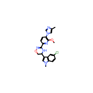 COc1nc(C2=NOCC(c3cn(C)c4ccc(Cl)cc34)N2)ccc1-n1cnc(C)c1